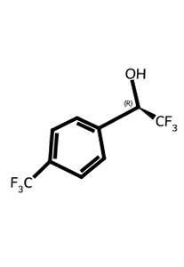 O[C@H](c1ccc(C(F)(F)F)cc1)C(F)(F)F